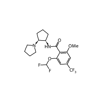 COc1cc(C(F)(F)F)cc(OC(F)F)c1C(=O)N[C@@H]1CCC[C@@H]1N1CCCC1